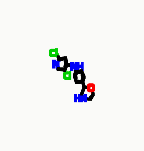 Clc1cc(Nc2ccc(C3CNCCO3)cc2)c(Cl)cn1